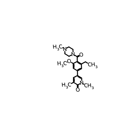 CCc1cc(-c2cc(C)c(=O)n(C)c2)cc(OC)c1C(=O)N1CCN(C)CC1